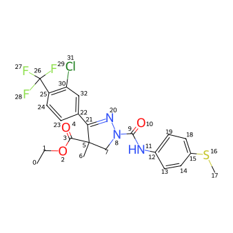 CCOC(=O)C1(C)CN(C(=O)Nc2ccc(SC)cc2)N=C1c1ccc(C(F)(F)F)c(Cl)c1